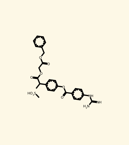 CC(C(=O)OCC(=O)OCc1ccccc1)c1ccc(OC(=O)c2ccc(NC(=N)N)cc2)cc1.CS(=O)(=O)O